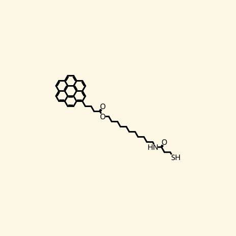 O=C(CCS)NCCCCCCCCCCCOC(=O)CCCc1cc2ccc3ccc4ccc5ccc6ccc1c1c6c5c4c3c21